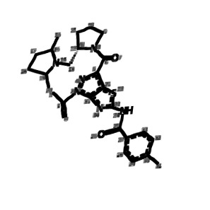 C=C(C)n1nc(C(=O)N2CCC[C@H]2CN2C(C)CCC2C)c2sc(NC(=O)c3ccc(C)cc3)nc21